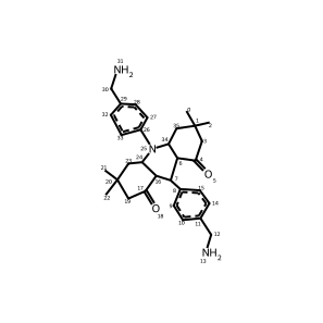 CC1(C)CC(=O)C2C(c3ccc(CN)cc3)C3C(=O)CC(C)(C)CC3N(c3ccc(CN)cc3)C2C1